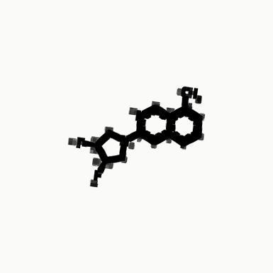 Cc1cccc2cc(N3C[C@@H](F)[C@@H](F)C3)ncc12